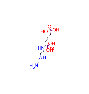 NCCNCCNC(CCCCP(=O)(O)O)P(=O)(O)O